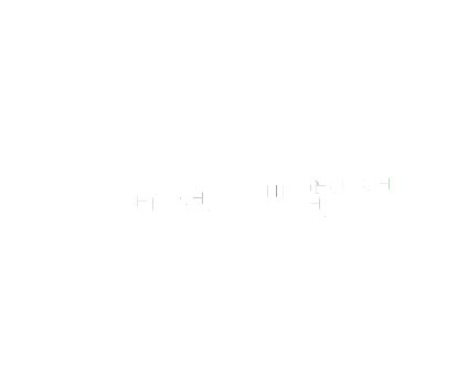 Cl.Cl.[CH2]=[Hf]([CH]1C=Cc2ccccc21)[CH]1C=Cc2ccccc21.[CH2]=[Hf]([CH]1C=Cc2ccccc21)[CH]1C=Cc2ccccc21